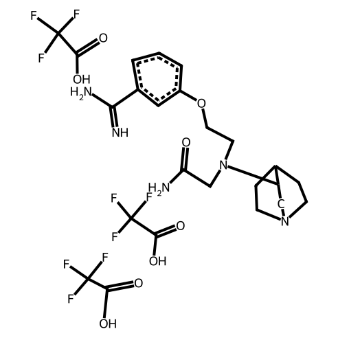 N=C(N)c1cccc(OCCN(CC(N)=O)C2CN3CCC2CC3)c1.O=C(O)C(F)(F)F.O=C(O)C(F)(F)F.O=C(O)C(F)(F)F